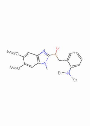 CCN(CC)c1ccccc1C[S+]([O-])c1nc2cc(OC)c(OC)cc2n1C